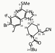 CSc1nc2c(F)c(Br)c(C)cc2c2c1ncn2[C@H]1CCN(C(=O)OC(C)(C)C)[C@H](CC#N)C1